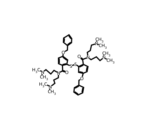 CN(C)CCCN(CCCN(C)C)C(=O)c1ccc(OCc2ccccc2)cc1SSc1cc(OCc2ccccc2)ccc1C(=O)N(CCCN(C)C)CCCN(C)C